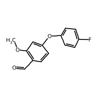 COc1cc(Oc2ccc(F)cc2)ccc1C=O